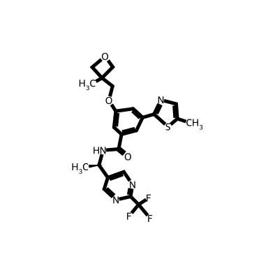 Cc1cnc(-c2cc(OCC3(C)COC3)cc(C(=O)N[C@H](C)c3cnc(C(F)(F)F)nc3)c2)s1